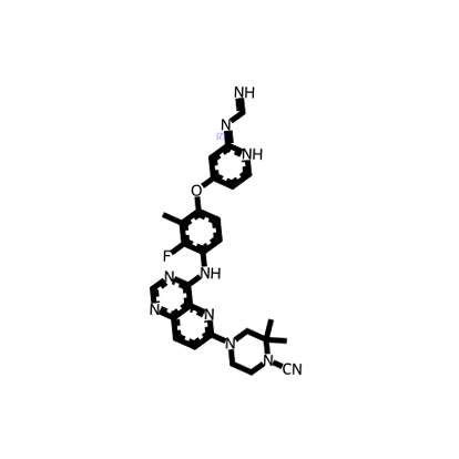 Cc1c(Oc2cc[nH]/c(=N\C=N)c2)ccc(Nc2ncnc3ccc(N4CCN(C#N)C(C)(C)C4)nc23)c1F